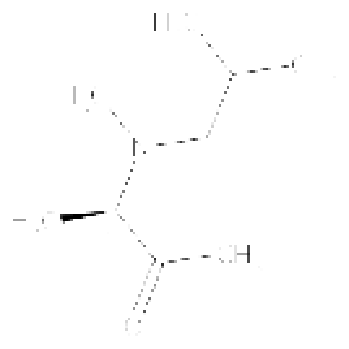 CC(=O)[C@@H](C)N(C)CC(C)C